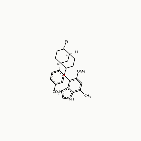 CCN1CC[C@@]2(c3ccc(C(=O)O)cc3)C[C@@H]1CCN2Cc1c(OC)cc(C)c2[nH]ccc12